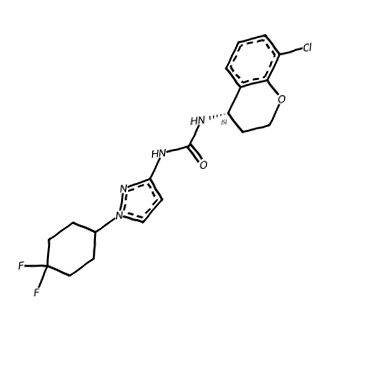 O=C(Nc1ccn(C2CCC(F)(F)CC2)n1)N[C@H]1CCOc2c(Cl)cccc21